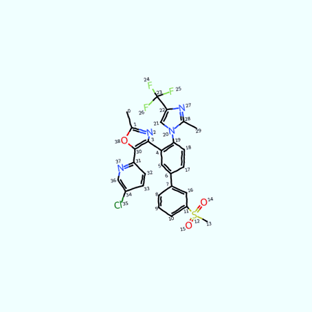 Cc1nc(-c2cc(-c3cccc(S(C)(=O)=O)c3)ccc2-n2cc(C(F)(F)F)nc2C)c(-c2ccc(Cl)cn2)o1